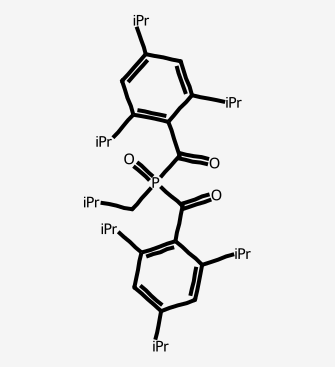 CC(C)CP(=O)(C(=O)c1c(C(C)C)cc(C(C)C)cc1C(C)C)C(=O)c1c(C(C)C)cc(C(C)C)cc1C(C)C